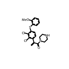 C=C(C(=O)N1CCNCC1)c1ccc(Sc2ccccc2OC)c(Cl)c1Cl